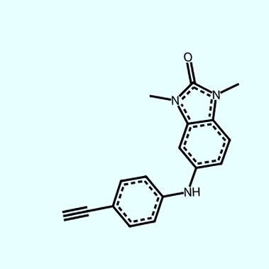 C#Cc1ccc(Nc2ccc3c(c2)n(C)c(=O)n3C)cc1